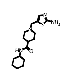 Nc1ncc(CN2CCC(C(=O)NC3CCCCC3)CC2)s1